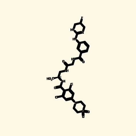 O=C(CNC(=O)c1cccc(NC2=NCC(F)CN2)c1)NC[C@@H](NC(=O)c1c(Cl)cc(N2CCS(=O)(=O)CC2)cc1Cl)C(=O)O